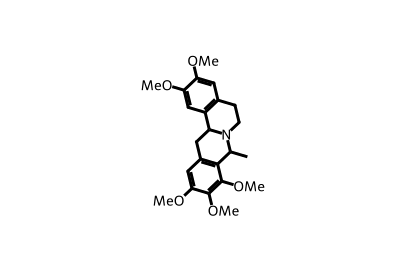 COc1cc2c(cc1OC)C1Cc3cc(OC)c(OC)c(OC)c3C(C)N1CC2